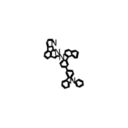 c1ccc(-n2c3ccccc3c3cc(-c4ccc5c(c4)c4c6ccccc6ccc4n5-c4cc5cccc6c5c(n4)-c4ncccc4-6)ccc32)cc1